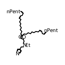 CCCCC/C=C\C/C=C\CCCCCCCCC1(CCCCCCCC/C=C\C/C=C\CCCCC)OCC(CCN(CC)CCc2ccncc2)O1